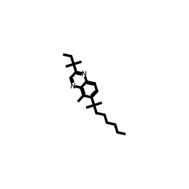 CCCCCCC(C)(C)c1ccc2nc(C(C)(C)CC)cnc2c1C